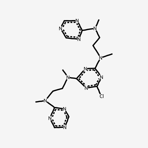 CN(CCN(C)c1nc(Cl)nc(N(C)CCN(C)c2ncncn2)n1)c1ncncn1